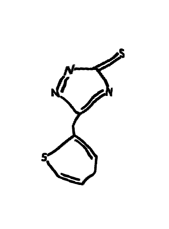 S=C1N=NC(c2cccs2)=N1